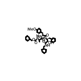 COc1ccc(C[C@H](NC(=O)C(C)NC(=O)OCc2ccccc2)C(=O)N[C@@H](Cc2ccccc2)[C@H](O)C(=O)NCc2ccccc2)cc1